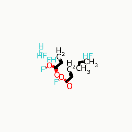 C=CC(=O)OF.C=CC(=O)OF.CCC.F.F.F.F